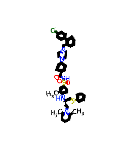 Cc1cc(S(=O)(=O)NC(=O)c2ccc(N3CCN(Cc4ccccc4-c4ccc(Cl)cc4)CC3)cc2)ccc1N[C@H](CCN1C(C)CCCC1C)CSc1ccccc1